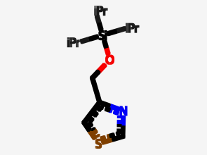 CC(C)[Si](OCc1cscn1)(C(C)C)C(C)C